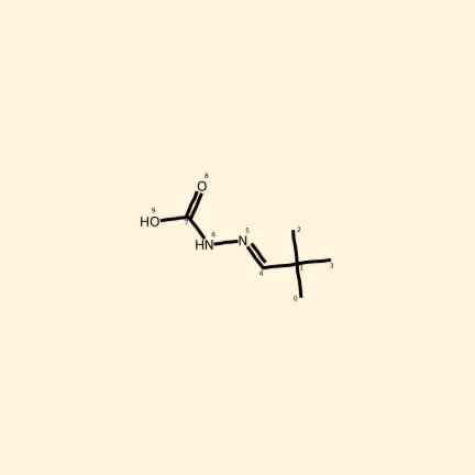 CC(C)(C)C=NNC(=O)O